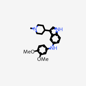 COc1ccc(Nc2ccc3[nH]cc(C4CCN(C)CC4)c3c2)cc1OC